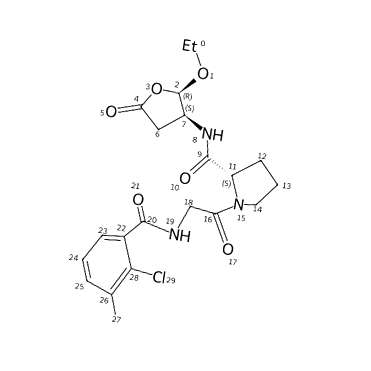 CCO[C@@H]1OC(=O)C[C@@H]1NC(=O)[C@@H]1CCCN1C(=O)CNC(=O)c1cccc(C)c1Cl